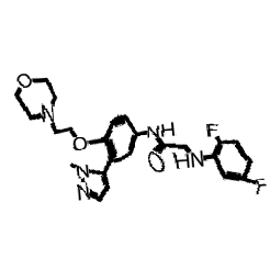 Cn1nccc1-c1cc(NC(=O)CNc2cc(F)ccc2F)ccc1OCCN1CCOCC1